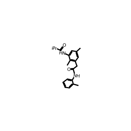 Cc1cc(CC(=O)Nc2ccccc2C)c(C)c(NC(=O)C(C)C)c1